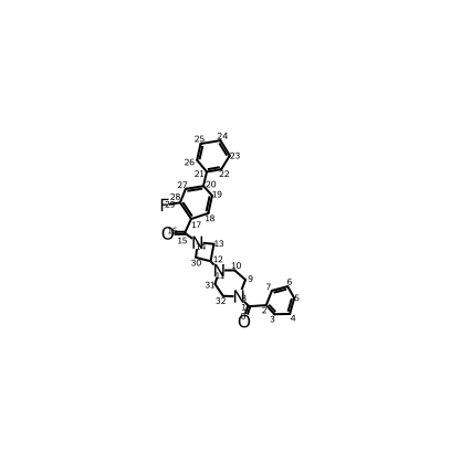 O=C(c1ccccc1)N1CCN(C2CN(C(=O)c3ccc(-c4ccccc4)cc3F)C2)CC1